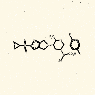 CC(C)(C)N(C(=O)O)[C@H]1C[C@@H](N2Cc3cn(S(=O)(=O)C4CC4)nc3C2)[C@@H](C(F)(F)F)O[C@@H]1c1cc(F)ccc1F